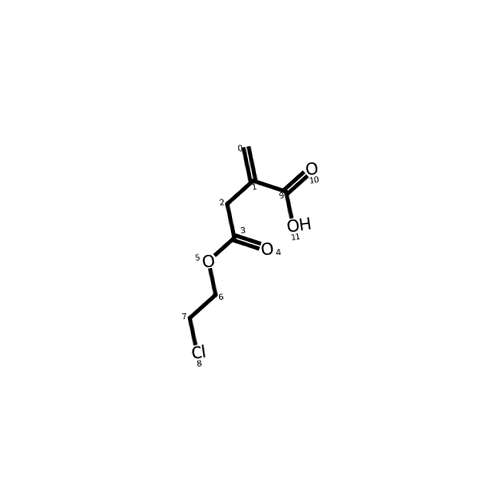 C=C(CC(=O)OCCCl)C(=O)O